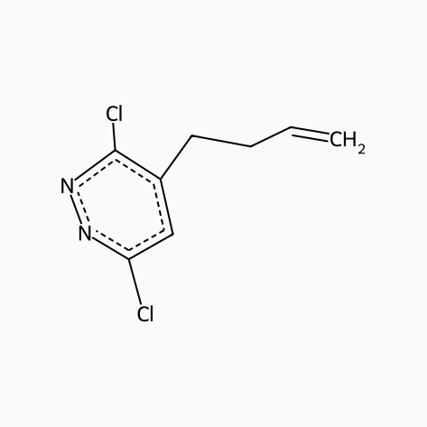 C=CCCc1cc(Cl)nnc1Cl